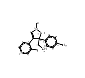 Cc1cnccc1C1=CN(C)NC1(CO)c1ccc(Cl)cc1